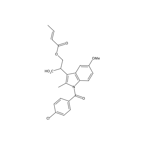 C/C=C/C(=O)OCC(C(=O)O)c1c(C)n(C(=O)c2ccc(Cl)cc2)c2ccc(OC)cc12